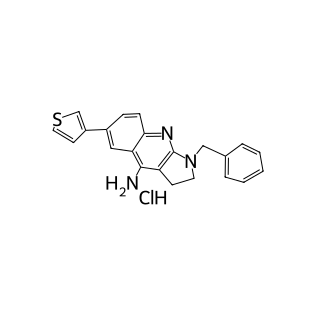 Cl.Nc1c2c(nc3ccc(-c4ccsc4)cc13)N(Cc1ccccc1)CC2